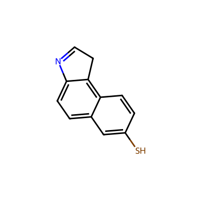 Sc1ccc2c3c(ccc2c1)N=CC3